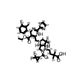 CCOC(=O)C1=C(CN2CC(F)(F)[C@@H]3[C@H]2CN(C(=O)[C@H]2CC2(F)F)N3CCC(C)(C)C(=O)O)NC(c2nccs2)=N[C@H]1c1cccc(F)c1C